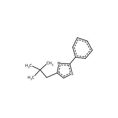 CC(C)(C)Cc1csc(-c2ccccc2)n1